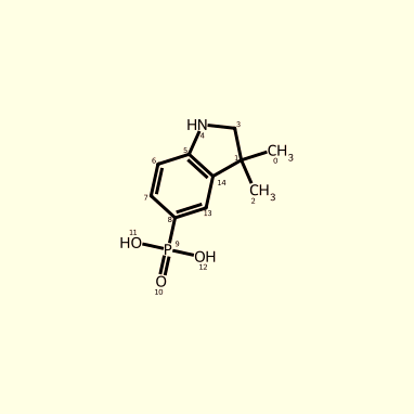 CC1(C)CNc2ccc(P(=O)(O)O)cc21